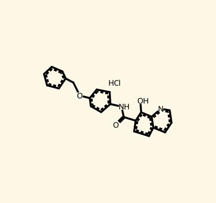 Cl.O=C(Nc1ccc(OCc2ccccc2)cc1)c1ccc2cccnc2c1O